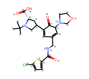 CC(C)(C)N1CC(C2=CC(CNC(=O)c3ccc(Cl)s3)=CC(N3CCOC3)C2=O)C[C@H]1C(=O)O